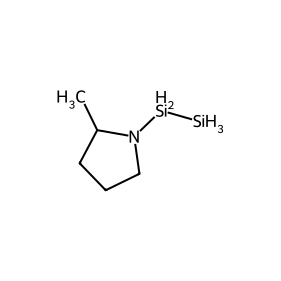 CC1CCCN1[SiH2][SiH3]